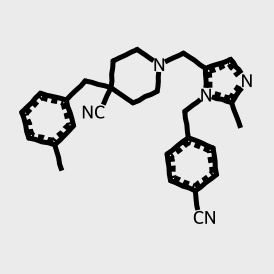 Cc1cccc(CC2(C#N)CCN(Cc3cnc(C)n3Cc3ccc(C#N)cc3)CC2)c1